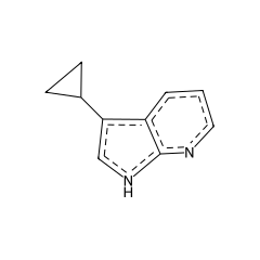 c1cnc2[nH]cc(C3CC3)c2c1